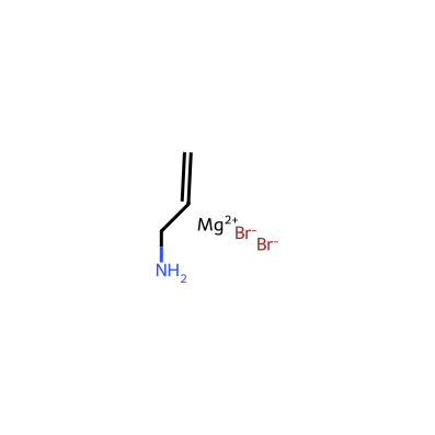 C=CCN.[Br-].[Br-].[Mg+2]